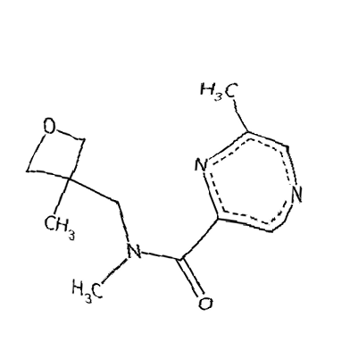 Cc1cncc(C(=O)N(C)CC2(C)COC2)n1